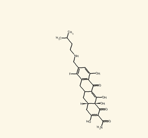 CC(C)CCNCc1cc(O)c2c(c1F)CC1C[C@H]3CC(O)=C(C(N)=O)C(=O)[C@@]3(O)C(O)=C1C2=O